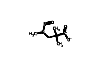 CN(CC(C)(C)[N+](=O)[O-])N=O